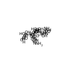 COCC[C@H]1[C@@H](O)[C@H](n2c[n+](C)c3c(=O)[nH]c(N)nc32)O[C@@H]1COP(=O)(O)OP(=O)(O)OP(=O)(O)OC[C@H]1O[C@@H](n2cnc3c(N)ncnc32)[C@H](OC)[C@@H]1OP(=O)(O)CC[C@H]1O[C@@H](n2ccc(=O)[nH]c2=O)[C@H](O)[C@@H]1O